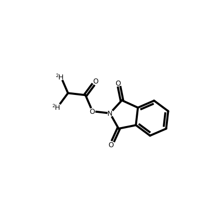 [2H]C([2H])C(=O)ON1C(=O)c2ccccc2C1=O